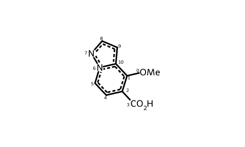 COc1c(C(=O)O)ccn2nccc12